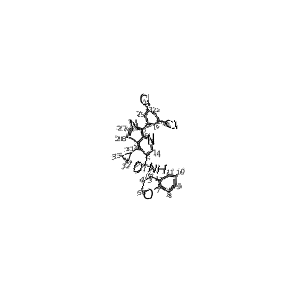 O=C(N[C@H]1CCOc2ccccc21)c1cnc2c(-c3cc(Cl)cc(Cl)c3)nccc2c1C1CC1